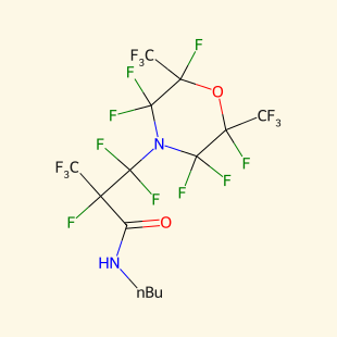 CCCCNC(=O)C(F)(C(F)(F)F)C(F)(F)N1C(F)(F)C(F)(C(F)(F)F)OC(F)(C(F)(F)F)C1(F)F